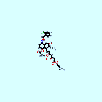 C=CCOC(=O)CC(O)CC(=O)CCC1C(C)C(=O)C=C2/C(=N\OCc3ccccc3Cl)CCC(OC(=O)C(C)CC)C21